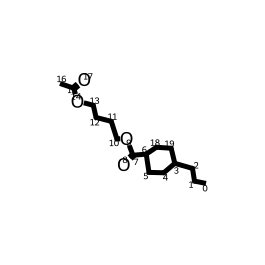 CCCC1CCC(C(=O)OCCCCOC(C)=O)CC1